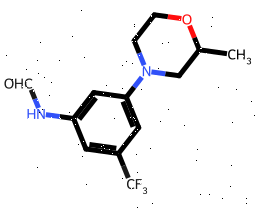 CC1CN(c2cc(NC=O)cc(C(F)(F)F)c2)CCO1